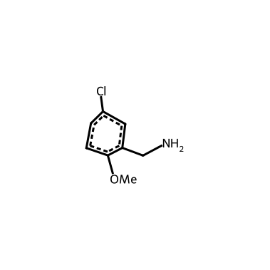 COc1ccc(Cl)cc1CN